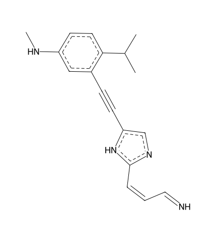 CNc1ccc(C(C)C)c(C#Cc2cnc(/C=C\C=N)[nH]2)c1